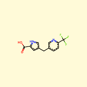 O=C(O)c1cc(Cc2ccc(C(F)(F)F)nc2)c[nH]1